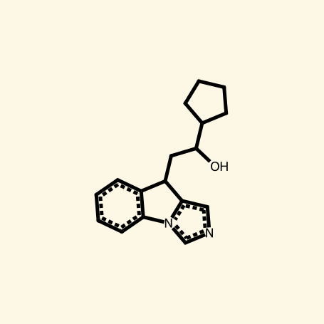 OC(CC1c2ccccc2-n2cncc21)C1CCCC1